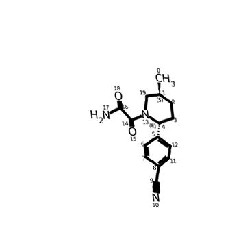 C[C@H]1CC[C@H](c2ccc(C#N)cc2)N(C(=O)C(N)=O)C1